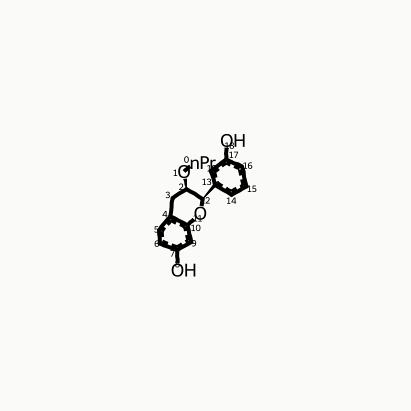 CCCO[C@@H]1Cc2ccc(O)cc2O[C@@H]1c1cccc(O)c1